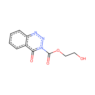 O=C(OCCO)n1nnc2ccccc2c1=O